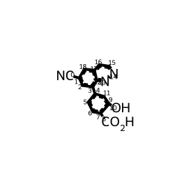 N#Cc1cc(-c2ccc(C(=O)O)c(O)c2)c2nnccc2c1